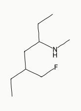 CCC(CF)CC(CC)NC